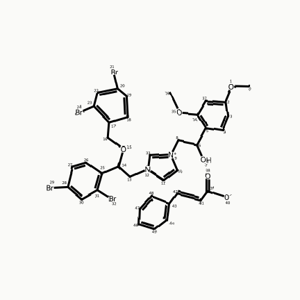 COc1ccc(C(O)C[n+]2ccn(CC(OCc3ccc(Br)cc3Br)c3ccc(Br)cc3Br)c2)c(OC)c1.O=C([O-])C=Cc1ccccc1